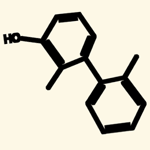 Cc1ccccc1-c1cccc(O)c1C